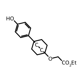 CCOC(=O)COC12CCC(c3ccc(O)cc3)(CC1)CC2